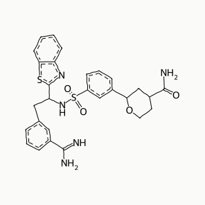 N=C(N)c1cccc(CC(NS(=O)(=O)c2cccc(C3CC(C(N)=O)CCO3)c2)c2nc3ccccc3s2)c1